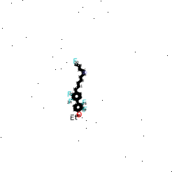 CCOc1ccc(-c2ccc(CCCCC/C=C\CCCF)c(F)c2F)c(F)c1F